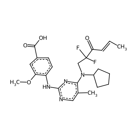 C/C=C/C(=O)C(F)(F)CN(c1nc(Nc2ccc(C(=O)O)cc2OC)ncc1C)C1CCCC1